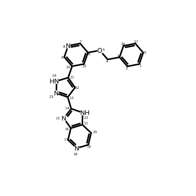 c1ccc(COc2cncc(-c3cc(-c4nc5cnccc5[nH]4)n[nH]3)c2)cc1